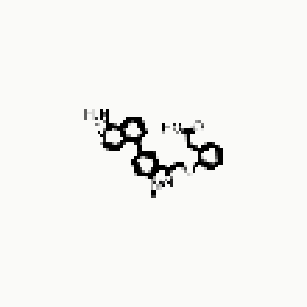 Cn1nc(COc2ccccc2CC(=O)O)c2cc(-c3cccc4c(N)nccc34)ccc21